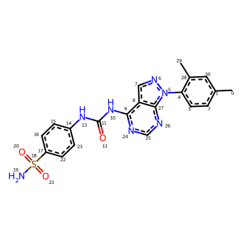 Cc1ccc(-n2ncc3c(NC(=O)Nc4ccc(S(N)(=O)=O)cc4)ncnc32)c(C)c1